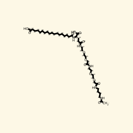 [CH2]C(=O)NCCCCNC(=O)COCCOCCNC(=O)COCCOCCNC(=O)CC[C@H](NC(=O)CCCCCCCCCCCCCCCCC(=O)O)C(=O)O